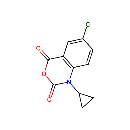 O=c1oc(=O)n(C2CC2)c2ccc(Cl)cc12